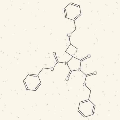 O=C(OCc1ccccc1)N1C(=O)N(C(=O)OCc2ccccc2)[C@]2(C[C@H](OCc3ccccc3)C2)C1=O